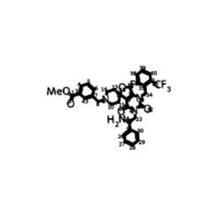 COC(=O)c1cccc(CN2CCC3(CC2)OCc2c3c(=O)n(C[C@H](N)c3ccccc3)c(=O)n2Cc2c(F)cccc2C(F)(F)F)c1